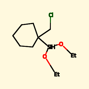 CCO[SiH](OCC)C1(CCl)CCCCC1